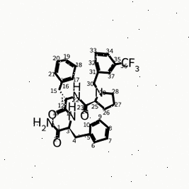 NC(=O)[C@H](Cc1ccccc1)NC(=O)[C@H](Cc1ccccc1)NC(=O)[C@@H]1CCCN1Cc1cccc(C(F)(F)F)c1